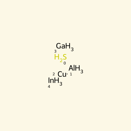 S.[AlH3].[Cu].[GaH3].[InH3]